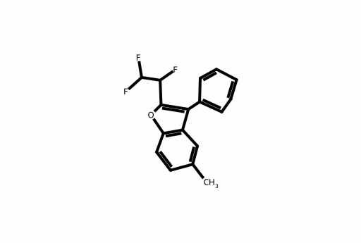 Cc1ccc2oc(C(F)C(F)F)c(-c3ccccc3)c2c1